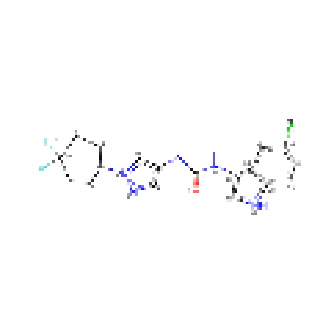 O=C(Nc1cnn(C2CCC(F)(F)CC2)c1)Nc1c[nH]c2ccc(Cl)cc12